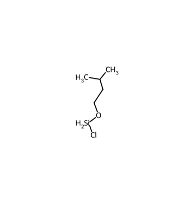 CC(C)CCO[SiH2]Cl